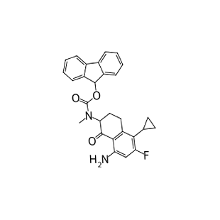 CN(C(=O)OC1c2ccccc2-c2ccccc21)C1CCc2c(c(N)cc(F)c2C2CC2)C1=O